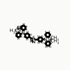 C[Si]1(C)c2ccccc2N(c2ccc(-c3nnc(-c4ccc(N5c6ccccc6[Si](C)(C)c6ccccc65)cc4)s3)cc2)c2ccccc21